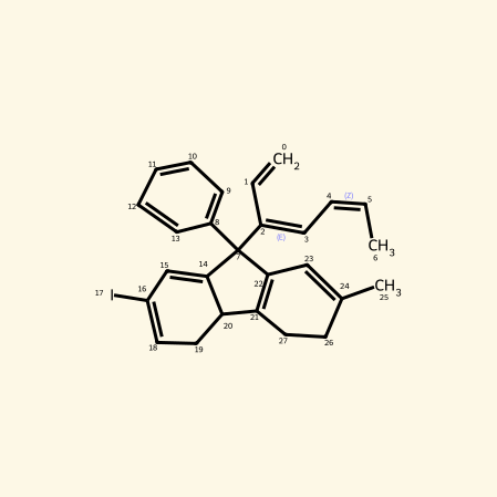 C=C/C(=C\C=C/C)C1(c2ccccc2)C2=CC(I)=CCC2C2=C1C=C(C)CC2